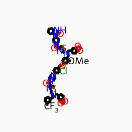 COc1cc(OCc2ccc(N3CCN(C(=O)c4csc(CN(Cc5cccc(C(F)(F)F)c5)Cc5ccc6c(c5)OCO6)n4)CC3)cc2Cl)ccc1CN(Cc1ccc2c(c1)OCO2)Cc1nc(C(=O)N2CCC(N3C(=O)NC4CCCCC43)CC2)cs1